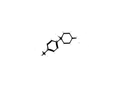 CN(C)C1CCC(N)(c2ccc(C(C)(C)C)cc2)CC1